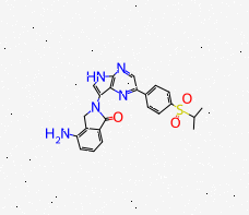 CC(C)S(=O)(=O)c1ccc(-c2cnc3[nH]cc(N4Cc5c(N)cccc5C4=O)c3n2)cc1